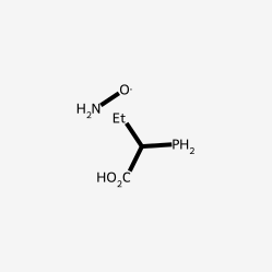 CCC(P)C(=O)O.N[O]